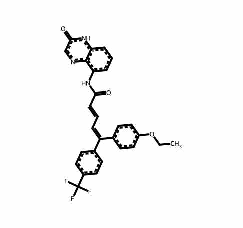 CCOc1ccc(/C(=C\C=C\C(=O)Nc2cccc3[nH]c(=O)cnc23)c2ccc(C(F)(F)F)cc2)cc1